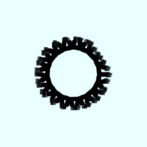 Br[C]1C(Br)(Br)C(Br)(Br)C(Br)(Br)C(Br)(Br)C(Br)(Br)C(Br)(Br)C(Br)(Br)C(Br)(Br)C(Br)(Br)C(Br)(Br)C(Br)(Br)C(Br)(Br)C(Br)(Br)C(Br)(Br)C(Br)(Br)C(Br)(Br)C(Br)(Br)C1(Br)Br